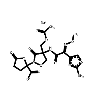 CON=C(C(=O)NC1(COC(C)=O)CON(C2(C(=O)[O-])CCC(=O)O2)C1=O)c1csc(N)n1.[Na+]